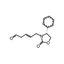 O=CCC=CCN1C(=O)OC[C@H]1c1ccccc1